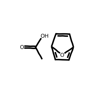 CC(=O)O.c1cc2ccc1o2